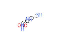 O=C1CCC(c2ccc(N3CCC(C4CCNCC4)CC3)nc2)C(=O)N1